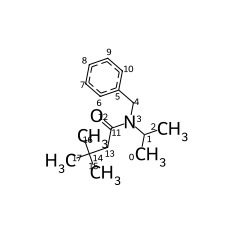 CC(C)N(Cc1ccccc1)C(=O)CC(C)(C)C